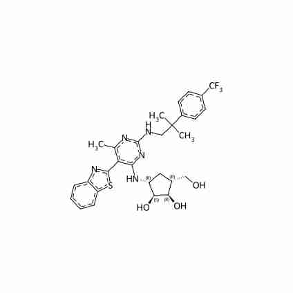 Cc1nc(NCC(C)(C)c2ccc(C(F)(F)F)cc2)nc(N[C@@H]2C[C@H](CO)[C@@H](O)[C@H]2O)c1-c1nc2ccccc2s1